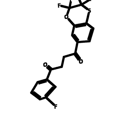 O=C(CCC(=O)c1ccc2c(c1)OC(F)(F)C(F)(F)S2)c1cccc(F)c1